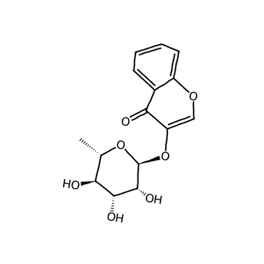 C[C@@H]1O[C@@H](Oc2coc3ccccc3c2=O)[C@H](O)[C@H](O)[C@H]1O